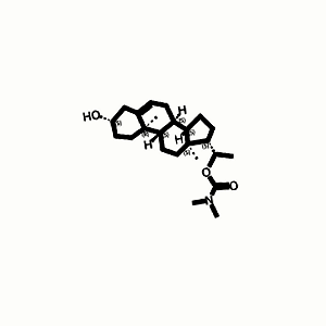 CC(OC(=O)N(C)C)[C@H]1CC[C@H]2[C@@H]3CC=C4C[C@@H](O)CC[C@]4(C)[C@H]3CC[C@]12C